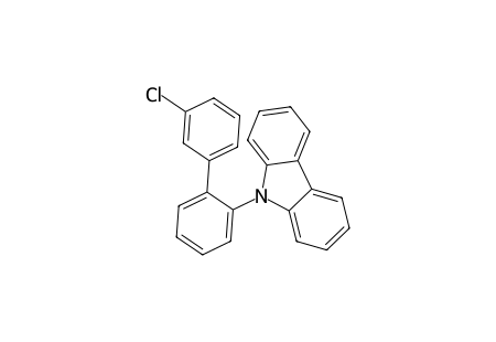 Clc1cccc(-c2ccccc2-n2c3ccccc3c3ccccc32)c1